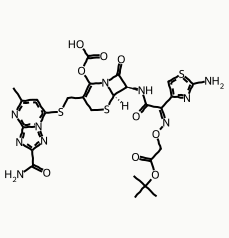 Cc1cc(SCC2=C(OC(=O)O)N3C(=O)[C@@H](NC(=O)/C(=N\OCC(=O)OC(C)(C)C)c4csc(N)n4)[C@H]3SC2)n2nc(C(N)=O)nc2n1